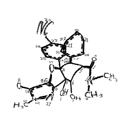 CN(C)C(=O)C1C(O)C2(O)c3nn(C)c(Cl)c3OC2(c2ccc(C#N)cc2)C1c1ccccc1